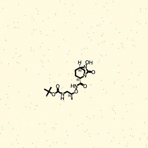 C[C@@H](CNC(=O)OC(C)(C)C)ONC(=O)[C@@H]1CC[C@@H]2CN1C(=O)N2O